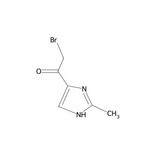 Cc1nc(C(=O)CBr)c[nH]1